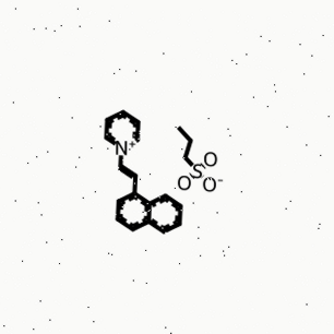 C(=C[n+]1ccccc1)c1cccc2ccccc12.CCCS(=O)(=O)[O-]